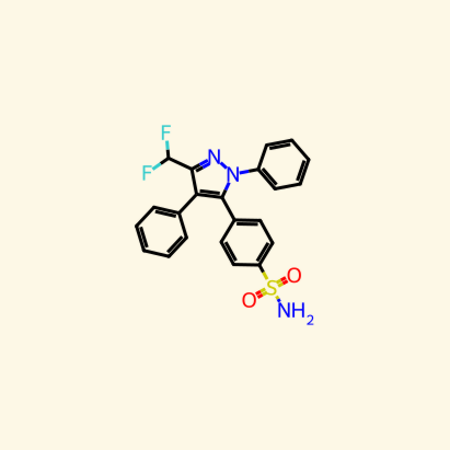 NS(=O)(=O)c1ccc(-c2c(-c3ccccc3)c(C(F)F)nn2-c2ccccc2)cc1